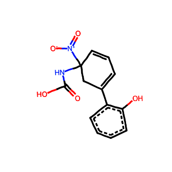 O=C(O)NC1([N+](=O)[O-])C=CC=C(c2ccccc2O)C1